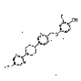 CCCc1cnc(N2CCC(c3ccc(COc4ccc(C#N)c(F)c4)nc3)CC2)nc1